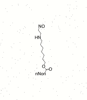 CCCCCCCCCC(=O)OCCCCCCCNCCN=O